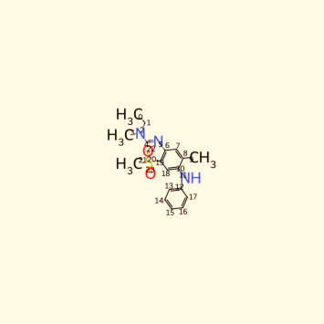 CCN(C)/C=N/c1cc(C)c(Nc2ccccc2)cc1S(C)(=O)=O